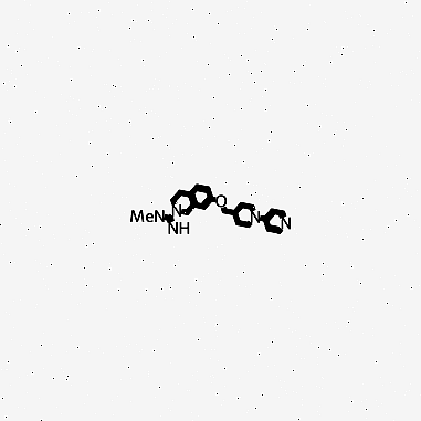 CNC(=N)N1CCc2ccc(OCC3CCN(c4ccncc4)CC3)cc2C1